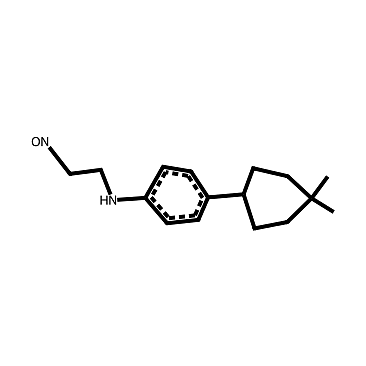 CC1(C)CCC(c2ccc(NCCN=O)cc2)CC1